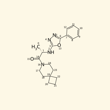 C[C@H](Nc1nnc(-c2ccccc2)o1)C(=O)N1CCC2(CCC2)CC1